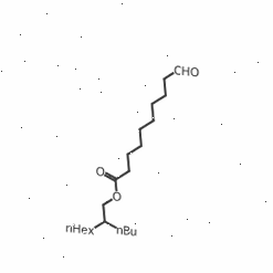 CCCCCCC(CCCC)COC(=O)CCCCCCCCC=O